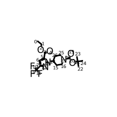 CCOC(=O)c1cc(C(F)(F)F)nn1C1CCN(C(=O)OC(C)(C)C)CC1